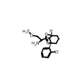 COCC(N)C1=N[C@@]2(c3ccccc3Cl)CCC[C@@H](O1)C2=O